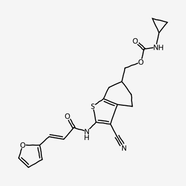 N#Cc1c(NC(=O)C=Cc2ccco2)sc2c1CCC(COC(=O)NC1CC1)C2